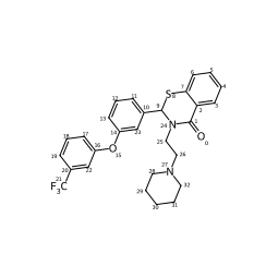 O=C1c2ccccc2SC(c2cccc(Oc3cccc(C(F)(F)F)c3)c2)N1CCN1CCCCC1